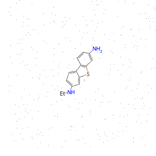 CCNc1ccc2c(c1)sc1cc(N)ccc12